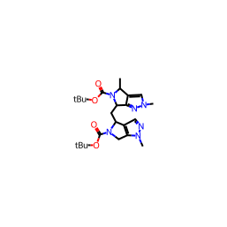 CC1c2cn(C)nc2C(CC2c3cnn(C)c3CN2C(=O)OC(C)(C)C)N1C(=O)OC(C)(C)C